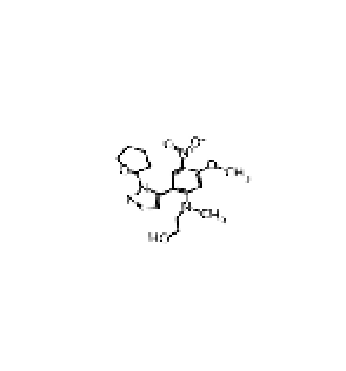 COc1cc(N(C)CCO)c(-c2ccnn2C2CCCCO2)cc1[N+](=O)[O-]